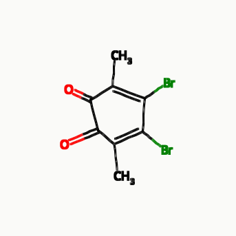 CC1=C(Br)C(Br)=C(C)C(=O)C1=O